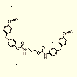 N#COc1ccc(Cc2ccc(NC(=O)OCCCNC(=O)Oc3ccc(Cc4ccc(OC#N)cc4)cc3)cc2)cc1